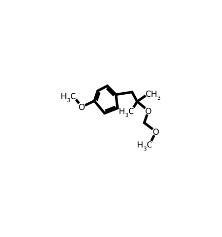 COCOC(C)(C)Cc1ccc(OC)cc1